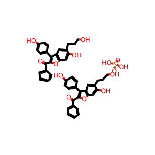 O=C(c1ccccc1)c1oc2cc(O)c(CCCO)cc2c1-c1ccc(O)cc1.O=C(c1ccccc1)c1oc2cc(O)c(CCCO)cc2c1-c1ccc(O)cc1.O=S(=O)(O)O